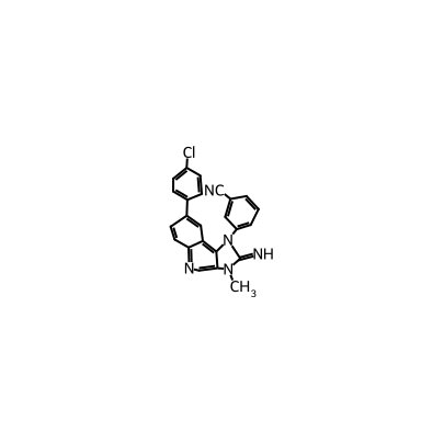 Cn1c(=N)n(-c2cccc(C#N)c2)c2c3cc(-c4ccc(Cl)cc4)ccc3ncc21